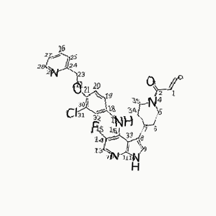 C=CC(=O)N1CCC(c2c[nH]c3ncc(F)c(Nc4ccc(OCc5ccccn5)c(Cl)c4)c23)CC1